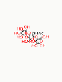 CC(=O)N[C@H]1[C@H](O[C@H]2[C@H](O)[C@H](O)C(O)O[C@@H]2CO)O[C@H](CO)[C@H](O[C@H]2O[C@H](CO)[C@@H](O)[C@H](O)[C@H]2O)[C@@H]1O